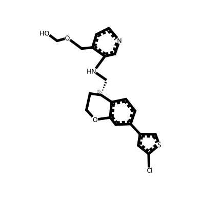 OCOCc1ccncc1NC[C@H]1CCOc2cc(-c3csc(Cl)c3)ccc21